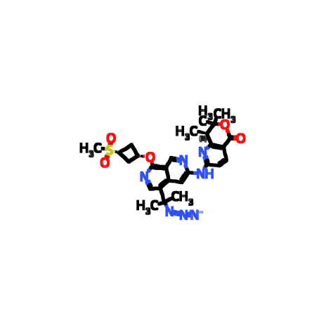 C[C@@H]1c2nc(Nc3cc4c(C(C)(C)N=[N+]=[N-])cnc(O[C@H]5C[C@@H](S(C)(=O)=O)C5)c4cn3)ccc2C(=O)OC1(C)C